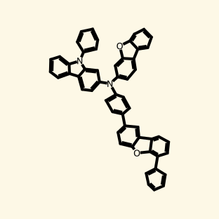 c1ccc(-c2cccc3c2oc2ccc(-c4ccc(N(c5ccc6c(c5)oc5ccccc56)c5ccc6c7ccccc7n(-c7ccccc7)c6c5)cc4)cc23)cc1